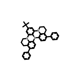 CC(C)(C)c1cc2c3c(c1)N1CCCc4c(-c5ccccc5)ccc(c41)B3c1ccc(-c3ccccc3)c3c1N2CCC3